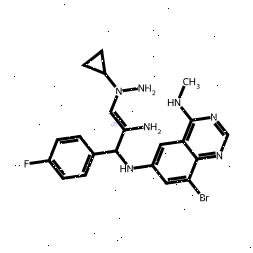 CNc1ncnc2c(Br)cc(NC(/C(N)=C/N(N)C3CC3)c3ccc(F)cc3)cc12